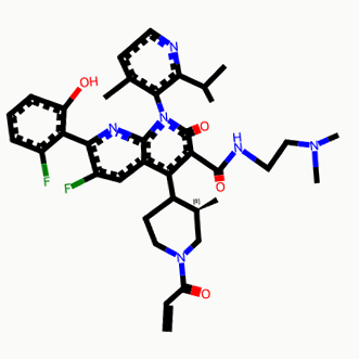 C=CC(=O)N1CCC(c2c(C(=O)NCCN(C)C)c(=O)n(-c3c(C)ccnc3C(C)C)c3nc(-c4c(O)cccc4F)c(F)cc23)[C@@H](C)C1